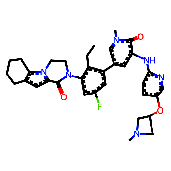 CCc1c(-c2cc(Nc3ccc(OC4CN(C)C4)cn3)c(=O)n(C)c2)cc(F)cc1N1CCn2c(cc3c2CCCC3)C1=O